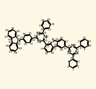 C1=CCCC(c2nc(-c3ccccc3)nc(-c3ccc4sc5c(-c6nc(-c7ccccc7)nc(-c7ccc(-n8c9ccccc9c9ccccc98)cc7)n6)cccc5c4c3)n2)=C1